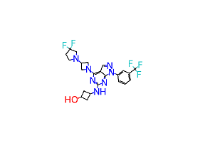 O[C@H]1C[C@@H](Nc2nc(N3CC(N4CCC(F)(F)C4)C3)c3cnn(-c4cccc(C(F)(F)F)c4)c3n2)C1